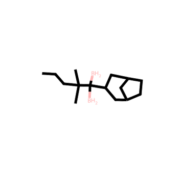 BC(B)(C1CC2CCC(C2)C1)C(C)(C)CCC